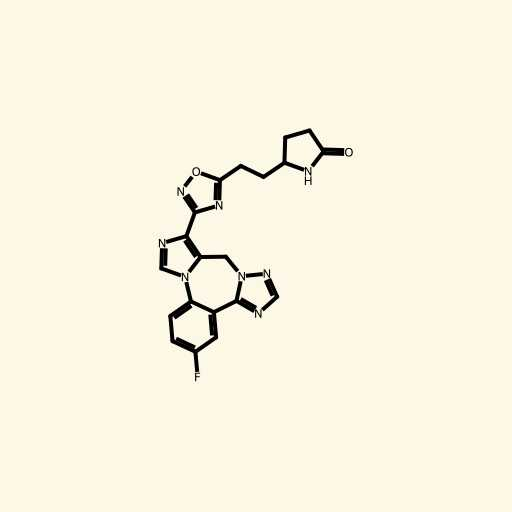 O=C1CCC(CCc2nc(-c3ncn4c3Cn3ncnc3-c3cc(F)ccc3-4)no2)N1